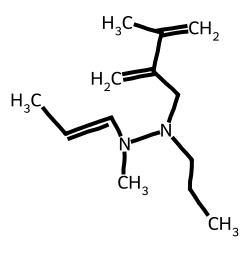 C=C(C)C(=C)CN(CCC)N(C)C=CC